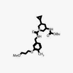 COCCCOc1cc(CNC(=O)N2CC(NC(=O)OCC(C)C)CC(C3CC3)C2)ccc1C